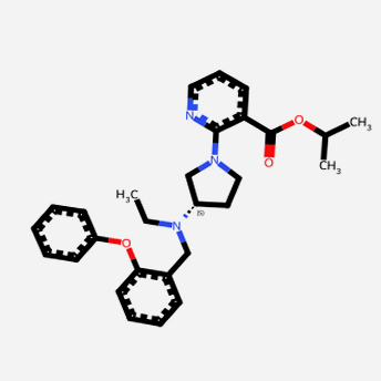 CCN(Cc1ccccc1Oc1ccccc1)[C@H]1CCN(c2ncccc2C(=O)OC(C)C)C1